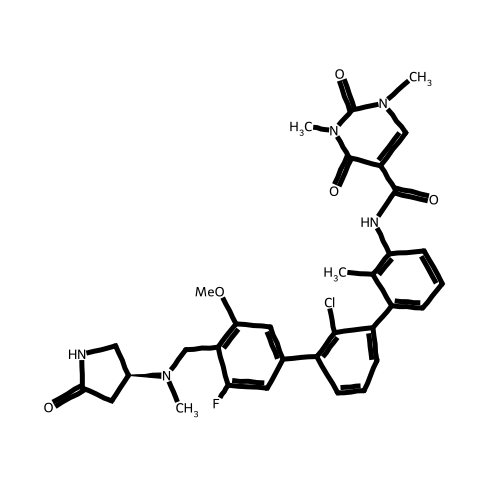 COc1cc(-c2cccc(-c3cccc(NC(=O)c4cn(C)c(=O)n(C)c4=O)c3C)c2Cl)cc(F)c1CN(C)[C@@H]1CNC(=O)C1